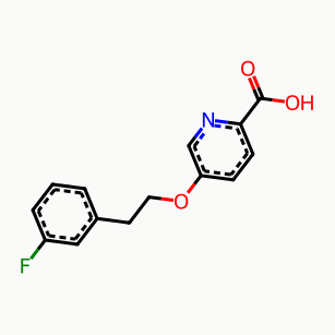 O=C(O)c1ccc(OCCc2cccc(F)c2)cn1